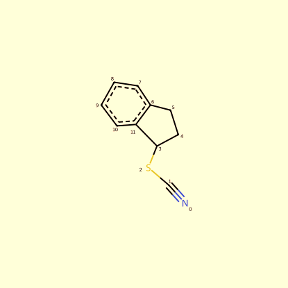 N#CSC1CCc2ccccc21